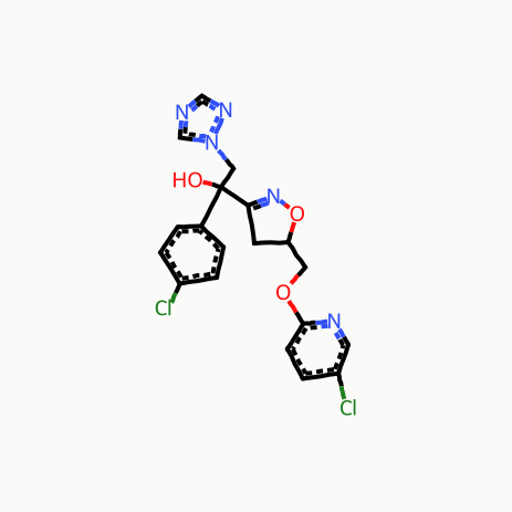 OC(Cn1cncn1)(C1=NOC(COc2ccc(Cl)cn2)C1)c1ccc(Cl)cc1